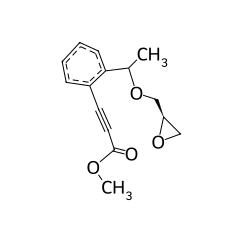 COC(=O)C#Cc1ccccc1C(C)OC[C@H]1CO1